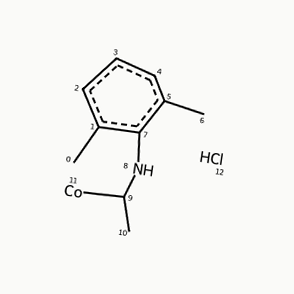 Cc1cccc(C)c1N[CH](C)[Co].Cl